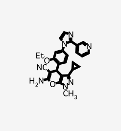 CCOc1cc(-n2ccnc2-c2cccnc2)ccc1C1C(C#N)=C(N)Oc2c1c(C1CC1)nn2C